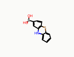 OB(O)c1ccc2c(c1)Nc1ccccc1S2